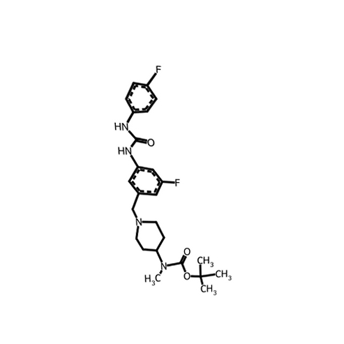 CN(C(=O)OC(C)(C)C)C1CCN(Cc2cc(F)cc(NC(=O)Nc3ccc(F)cc3)c2)CC1